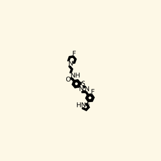 O=C(NCCCN1CCC(F)CC1)c1ccc2c(c1)sc1nc(-c3cc([C@H]4CCCN4)ccc3F)cn12